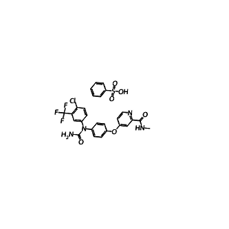 CNC(=O)c1cc(Oc2ccc(N(C(N)=O)c3ccc(Cl)c(C(F)(F)F)c3)cc2)ccn1.O=S(=O)(O)c1ccccc1